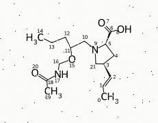 CC=C[C@@H]1C[C@H](C(=O)O)N(CC(CCC)OCNC(C)=O)C1